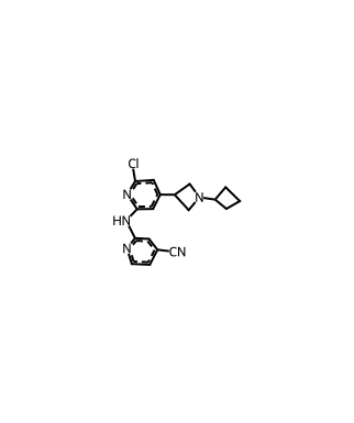 N#Cc1ccnc(Nc2cc(C3CN(C4CCC4)C3)cc(Cl)n2)c1